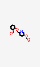 COCOc1ccc(COc2ccccc2C=O)nc1